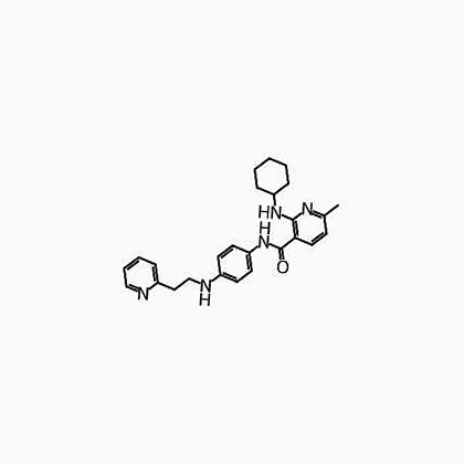 Cc1ccc(C(=O)Nc2ccc(NCCc3ccccn3)cc2)c(NC2CCCCC2)n1